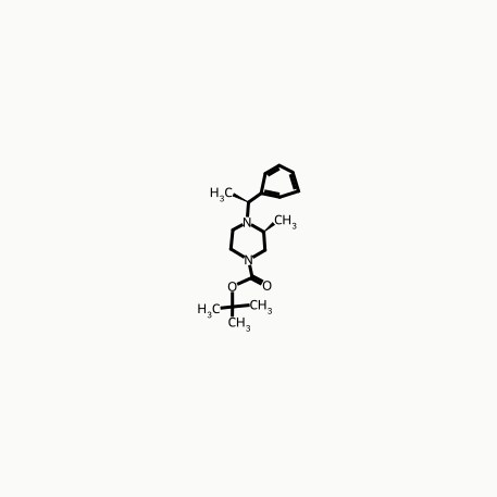 C[C@H]1CN(C(=O)OC(C)(C)C)CCN1[C@@H](C)c1ccccc1